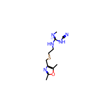 C/N=C(\NC#N)NCCSCc1nc(C)oc1C